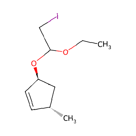 CCOC(CI)O[C@@H]1C=C[C@@H](C)C1